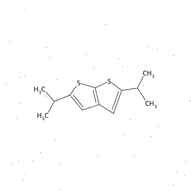 CC(C)c1cc2cc(C(C)C)sc2s1